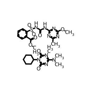 CN(C)c1nc(=O)n(C2CCCCC2)c(=O)n1C.COC(=O)c1ccccc1S(=O)(=O)NC(=O)Nc1nc(C)nc(OC)n1